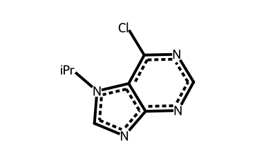 CC(C)n1cnc2ncnc(Cl)c21